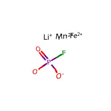 O=P([O-])([O-])F.[Fe+2].[Li+].[Mn+2]